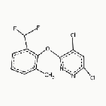 Cc1cccc(C(F)F)c1Oc1nnc(Cl)cc1Cl